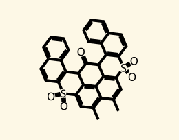 Cc1cc2c3c4c5c(cc(C)c14)S(=O)(=O)c1ccc4ccccc4c1C5C(=O)C3c1c(ccc3ccccc13)S2(=O)=O